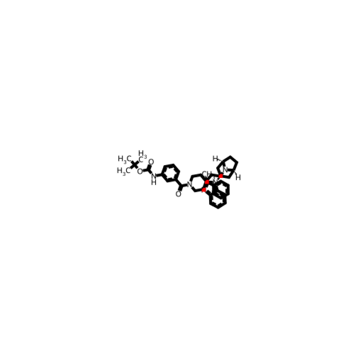 Cc1nc2ccccc2n1[C@H]1C[C@H]2CC[C@@H](C1)N2CCC1(c2ccccc2)CCN(C(=O)c2cccc(NC(=O)OC(C)(C)C)c2)CC1